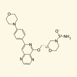 N[S+]([O-])N1CCO[C@H](COc2nc(-c3ccc(N4CCOCC4)cc3)cc3nccnc23)C1